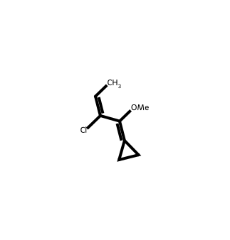 C/C=C(/Cl)C(OC)=C1CC1